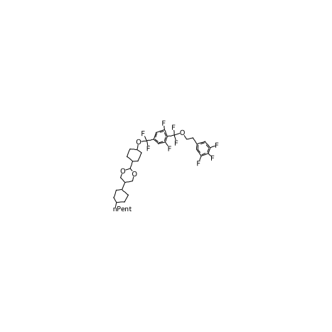 CCCCCC1CCC(C2COC(C3CCC(OC(F)(F)c4cc(F)c(C(F)(F)OCCc5cc(F)c(F)c(F)c5)c(F)c4)CC3)OC2)CC1